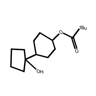 CC(C)(C)C(=O)OC1CCC(C2(O)CCCC2)CC1